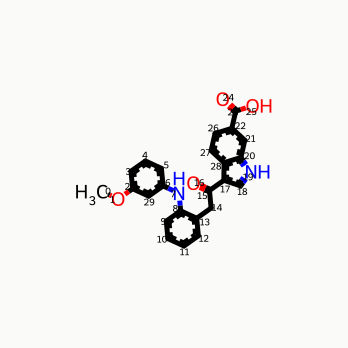 COc1cccc(Nc2ccccc2CC(=O)c2c[nH]c3cc(C(=O)O)ccc23)c1